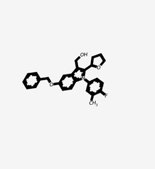 Cc1cc(-n2c(C3CCCO3)c(CO)c3cc(OCc4ccccc4)ccc32)ccc1F